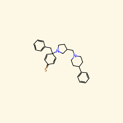 S=C1C=CC(Cc2ccccc2)(N2CCC(CN3CCC(c4ccccc4)CC3)C2)C=C1